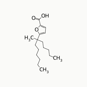 CCCCCCC(C)(CCCCC)c1ccc(C(=O)O)o1